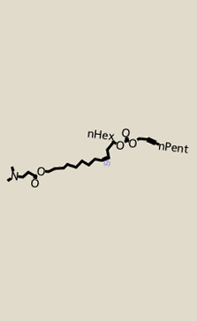 CCCCCC#CCOC(=O)OC(C/C=C\CCCCCCCCOC(=O)CCN(C)C)CCCCCC